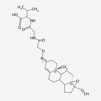 C#CC12CCC3C4CCC5=C/C(=N/OCC(=O)NCC(=O)NC(C(=O)O)C(C)C)CC[C@]5(C)C4CC[C@@]31O2